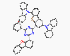 c1ccc(-c2nc(-c3cccc4c3oc3ccccc34)nc(-c3cc(-n4c5ccccc5c5ccccc54)cc4c3sc3c(-n5c6ccccc6c6ccccc65)cccc34)n2)cc1